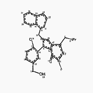 CC(C)Cc1nn(C)c(=O)c2c(-c3cc(CO)ccc3Cl)n(Cc3cccc4ccccc34)cc12